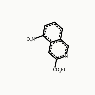 CCOC(=O)c1cc2c([N+](=O)[O-])cccc2cn1